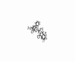 CCNC(CC(F)N1CCC2(CC1)C(=O)NCN2c1ccccc1)C(=O)c1ccccc1